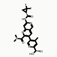 CC[C@@H](O)c1cc(C)c(-c2cc3cnc(NC(=O)[C@H]4CC4(F)F)cc3nc2C(=O)N(C)C)cn1